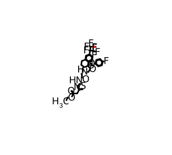 CCOC(=O)Cc1csc(NC(=O)CN2CC[C@@]3(S(=O)(=O)c4ccc(F)cc4)c4ccc(C(F)(C(F)(F)F)C(F)(F)F)cc4CC[C@@H]23)n1